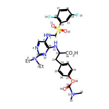 CCN(CC)c1ncc(NCS(=O)(=O)c2cc(F)ccc2F)c(NC(Cc2ccc(OC(=O)N(C)C)cc2)C(=O)O)n1